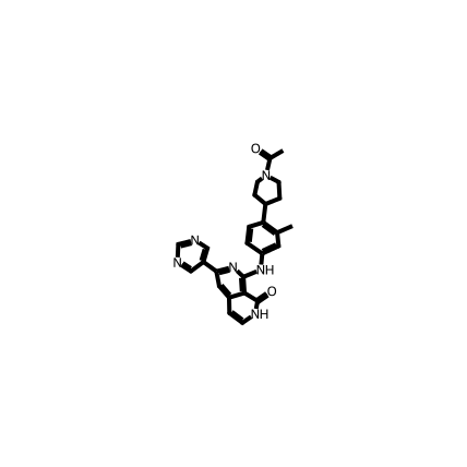 CC(=O)N1CCC(c2ccc(Nc3nc(-c4cncnc4)cc4cc[nH]c(=O)c34)cc2C)CC1